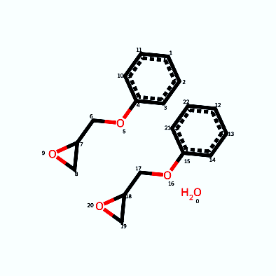 O.c1ccc(OCC2CO2)cc1.c1ccc(OCC2CO2)cc1